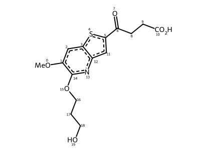 COc1cc2sc(C(=O)CCC(=O)O)cc2nc1OCCCO